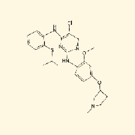 CCOc1cc(OC2CCN(C)C2)ccc1Nc1ncc(Cl)c(Nc2ccccc2SC(C)C)n1